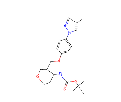 Cc1cnn(-c2ccc(OCC3COCCC3NC(=O)OC(C)(C)C)cc2)c1